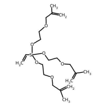 C=C[Si](OCCOCC(=C)C)(OCCOCC(=C)C)OCCOCC(=C)C